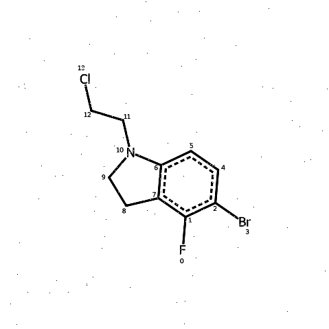 Fc1c(Br)ccc2c1CCN2CCCl